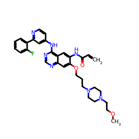 C=CC(=O)Nc1cc2c(Nc3ccnc(-c4ccccc4F)c3)ncnc2cc1OCCCN1CCN(CCOC)CC1